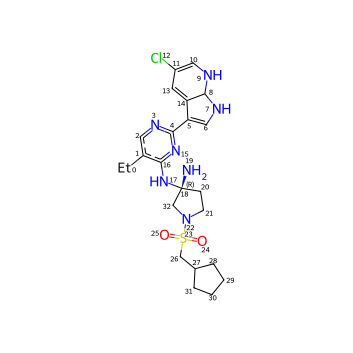 CCc1cnc(C2=CNC3NC=C(Cl)C=C23)nc1N[C@]1(N)CCN(S(=O)(=O)CC2CCCC2)C1